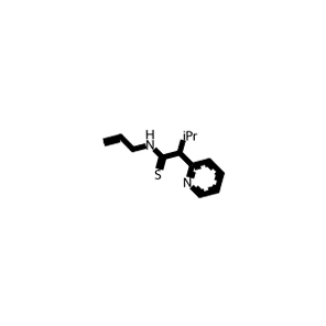 C=CCNC(=S)C(c1ccccn1)C(C)C